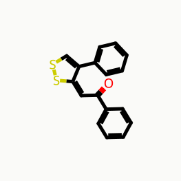 O=C(/C=C1/SSC=C1c1ccccc1)c1ccccc1